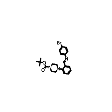 CC(C)(C)OC(=O)N1CCN(c2ccccc2/C=N/c2ccc(Br)cc2)CC1